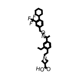 CCc1cc(C(C)=NOCc2ccc(C3CCCCC3)c(C(F)(F)F)c2)ccc1CCN1CC(C(=O)O)C1